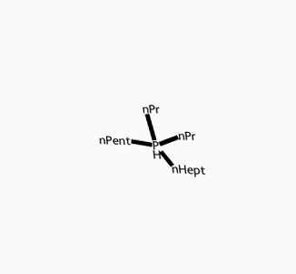 CCCCCCC[PH](CCC)(CCC)CCCCC